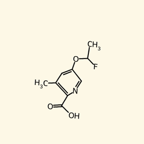 Cc1cc(OC(C)F)cnc1C(=O)O